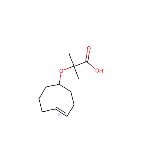 CC(C)(OC1CC/C=C/CCC1)C(=O)O